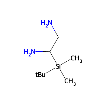 CC(C)(C)[Si](C)(C)C(N)CN